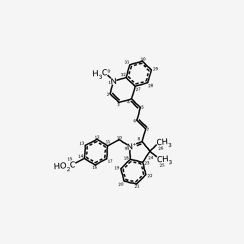 CN1C=C/C(=C\C=C\C2=[N+](Cc3ccc(C(=O)O)cc3)c3ccccc3C2(C)C)c2ccccc21